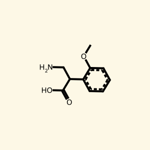 COc1ccccc1C(CN)C(=O)O